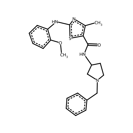 COc1ccccc1Nc1nc(C)c(C(=O)NC2CCN(Cc3ccccc3)C2)s1